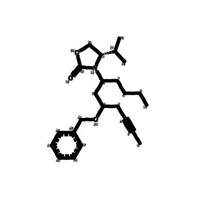 CC#CCC(CC(CCCC)N1C(=O)OC[C@@H]1C(C)C)OCc1ccccc1